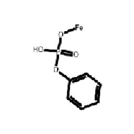 O=P(O)([O][Fe])Oc1ccccc1